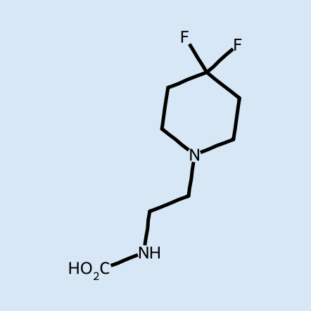 O=C(O)NCCN1CCC(F)(F)CC1